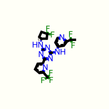 CC(F)(F)c1cc(Nc2nc(N[C@H]3CCC(F)(F)C3)nc(-c3cccc(C(F)(F)F)n3)n2)ccn1